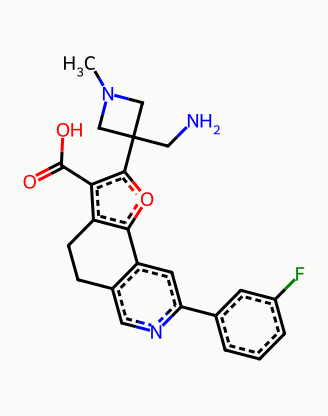 CN1CC(CN)(c2oc3c(c2C(=O)O)CCc2cnc(-c4cccc(F)c4)cc2-3)C1